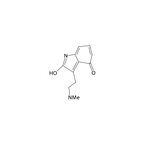 CNCCC1=C2C(=O)C=CC=C2N=C1O